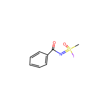 CS(=O)(I)=NC(=O)c1ccccc1